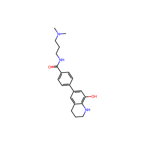 CN(C)CCCNC(=O)c1ccc(-c2cc(O)c3c(c2)CCCN3)cc1